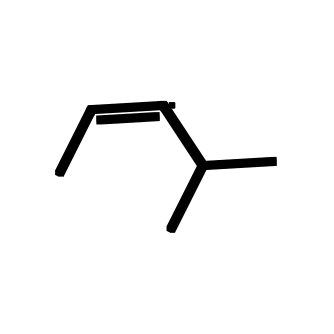 C/C=[C]\C(C)C